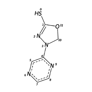 SC1=NN(c2cnccn2)CO1